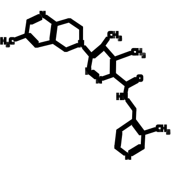 Cc1cnc2c(c1)CN(c1nnc(C(=O)NCc3ccncc3C)c(C)c1C)CC2